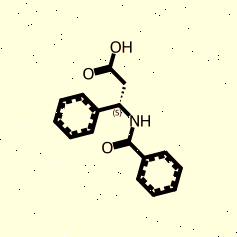 O=C(O)C[C@H](NC(=O)c1ccccc1)c1ccccc1